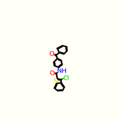 O=C(c1ccccc1)c1ccc(NC(=O)c2sc3ccccc3c2Cl)cc1